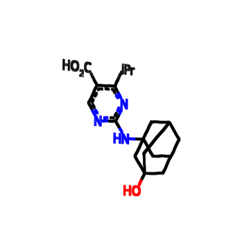 CC(C)c1nc(NC23CC4CC(CC(O)(C4)C2)C3)ncc1C(=O)O